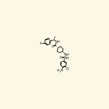 C[C@@H](NC(=O)[C@H]1CC[C@H](NS(=O)(=O)c2ccc(N)c(Cl)c2)CC1)c1ccc(F)cc1